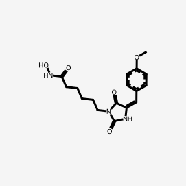 COc1ccc(C=C2NC(=O)N(CCCCCC(=O)NO)C2=O)cc1